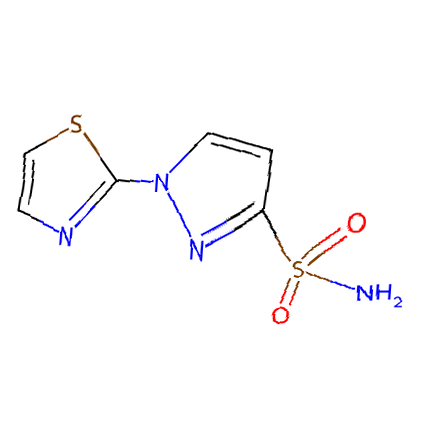 NS(=O)(=O)c1ccn(-c2nccs2)n1